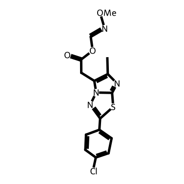 CON=COC(=O)Cc1c(C)nc2sc(-c3ccc(Cl)cc3)nn12